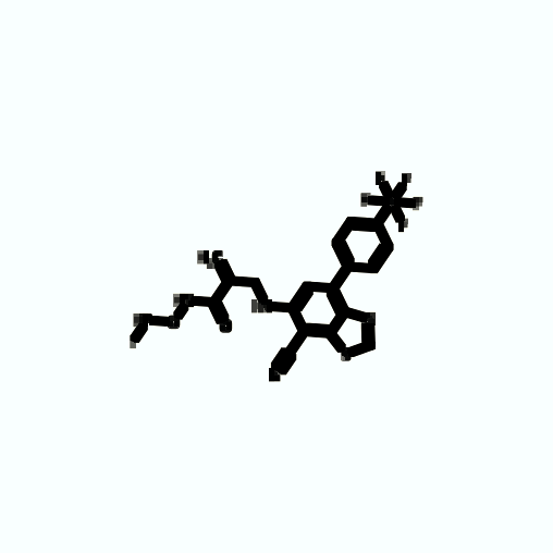 C=C(CNc1cc(-c2ccc(S(F)(F)(F)(F)F)cc2)c2ncsc2c1C#N)C(=O)NOPI